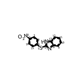 O=[N+]([O-])c1ccc(Sc2nc3ccccc3[nH]2)cc1